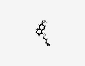 FC(F)(F)c1ccc2c(SCCCBr)ccnc2c1